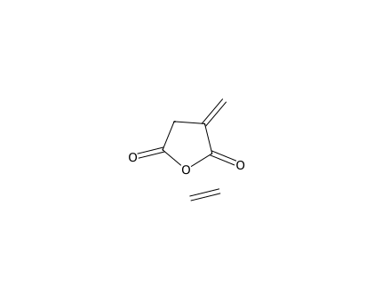 C=C.C=C1CC(=O)OC1=O